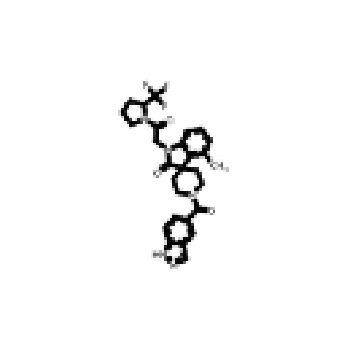 Cc1cccc2c1C1(CCN(C(=O)c3ccc4[nH]ncc4c3)CC1)C(=O)N2CC(=O)N1CCCC1C(F)(F)F